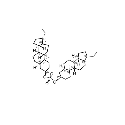 CC[C@H]1CC[C@H]2[C@@H]3CC[C@@H]4C[C@H](OS(=O)(=O)O[C@@H]5CC[C@@]6(C)[C@H](CC[C@@H]7[C@@H]6CC[C@]6(C)[C@@H](CC)CC[C@@H]76)C5)CC[C@]4(C)[C@H]3CC[C@]12C